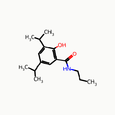 CCCNC(=O)c1cc(C(C)C)cc(C(C)C)c1O